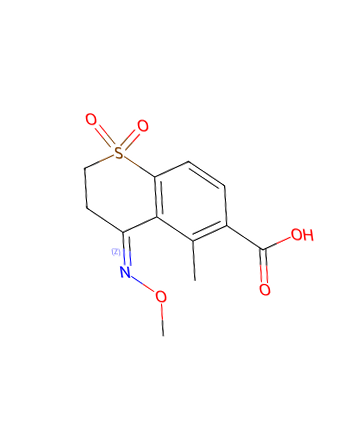 CO/N=C1/CCS(=O)(=O)c2ccc(C(=O)O)c(C)c21